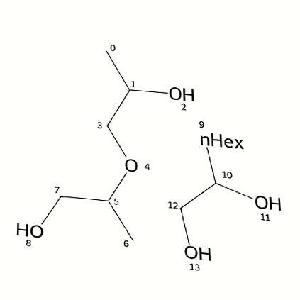 CC(O)COC(C)CO.CCCCCCC(O)CO